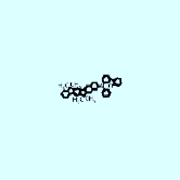 CC1(C)c2ccccc2-c2cc3c(cc21)-c1cc2ccc(N(c4ccccc4)c4cccc5c4oc4ccccc45)cc2cc1C3(C)C